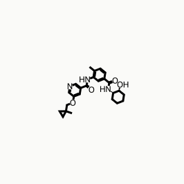 Cc1ccc(C(=O)N[C@H]2CCCC[C@@H]2O)cc1NC(=O)c1cncc(OCC2(C)CC2)c1